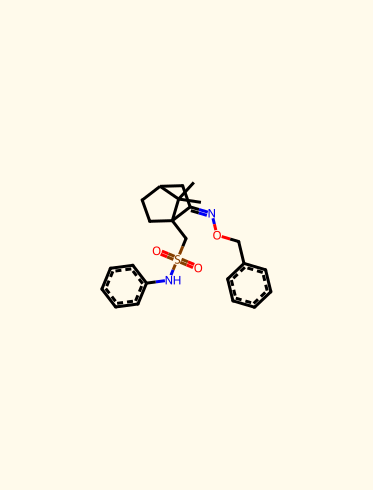 CC1(C)C2CCC1(CS(=O)(=O)Nc1ccccc1)C(=NOCc1ccccc1)C2